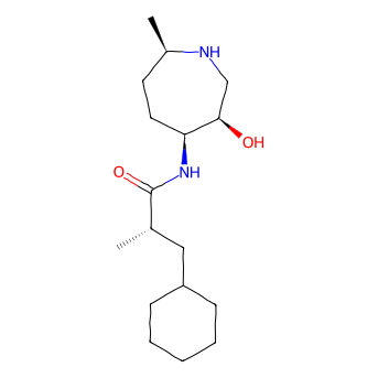 C[C@@H]1CC[C@H](NC(=O)[C@@H](C)CC2CCCCC2)[C@H](O)CN1